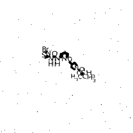 CC(C)(C)OC(=O)N1CCC(COc2cccc(NC(=O)Nc3csc(Br)n3)n2)CC1